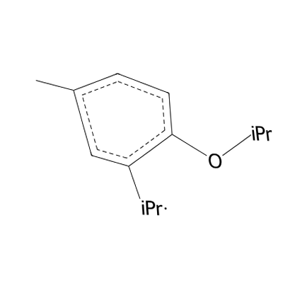 C[C](C)c1cc(C)ccc1OC(C)C